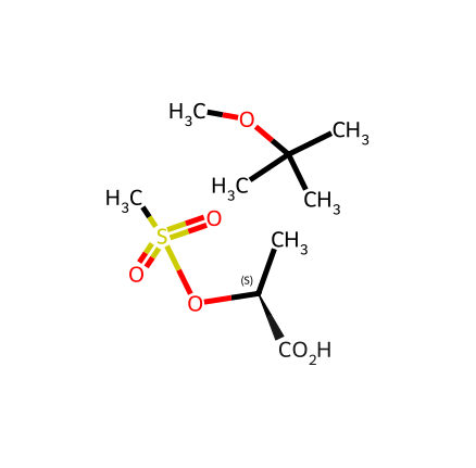 COC(C)(C)C.C[C@H](OS(C)(=O)=O)C(=O)O